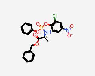 C[C@H](NP(=O)(Oc1ccccc1)Oc1ccc([N+](=O)[O-])cc1Cl)C(=O)OCc1ccccc1